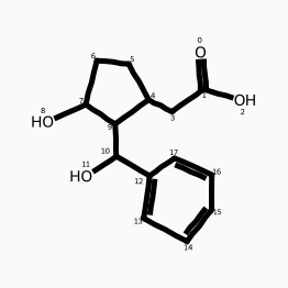 O=C(O)CC1CCC(O)C1C(O)c1ccccc1